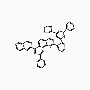 c1ccc(-c2cc(-c3ccccc3)nc(-c3ccccc3-c3ccc4ccc5c(-c6ccc7ccccc7c6)cc(-c6ccccc6)nc5c4n3)c2)cc1